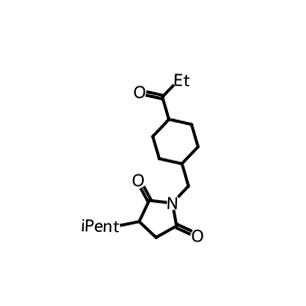 CCCC(C)C1CC(=O)N(CC2CCC(C(=O)CC)CC2)C1=O